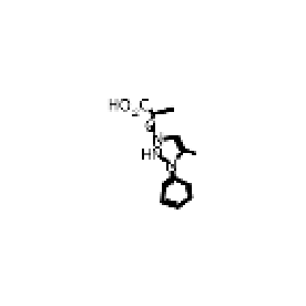 CC1=CN(OC(C)C(=O)O)NN1c1ccccc1